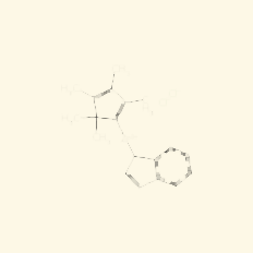 CC1=C(C)C(C)(C)[C]([Zr+2][CH]2C=Cc3ccccc32)=C1C.[Cl-].[Cl-]